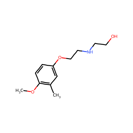 COc1ccc(OCCNCCO)cc1C